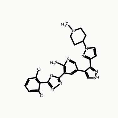 CN1CCC(n2ccc(-c3n[nH]cc3-c3cnc(N)c(-c4nnc(-c5c(Cl)cccc5Cl)o4)c3)n2)CC1